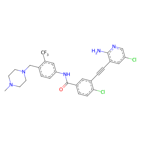 CN1CCN(Cc2ccc(NC(=O)c3ccc(Cl)c(C#Cc4cc(Cl)cnc4N)c3)cc2C(F)(F)F)CC1